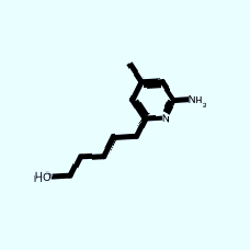 Cc1cc(N)nc(CCCCCO)c1